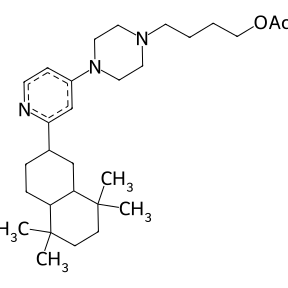 CC(=O)OCCCCN1CCN(c2ccnc(C3CCC4C(C3)C(C)(C)CCC4(C)C)c2)CC1